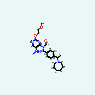 CNc1cnc(OCCOC)nc1N(C=O)Cc1ccc(C(C)N2CCCCCC2)cc1